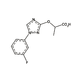 CC(Oc1ncn(-c2cccc(F)c2)n1)C(=O)O